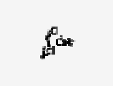 ClCCl.[Ca+2].[H-].[H-]